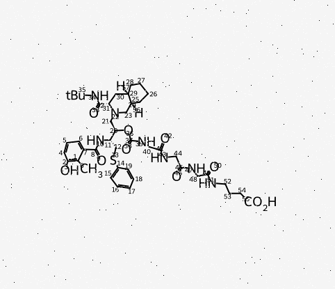 Cc1c(O)cccc1C(=O)N[C@@H](CSc1ccccc1)[C@@H](CN1C[C@H]2CCCC[C@H]2C[C@H]1C(=O)NC(C)(C)C)OC(=O)NCC(=O)NCC(=O)NCC(=O)NCCCC(=O)O